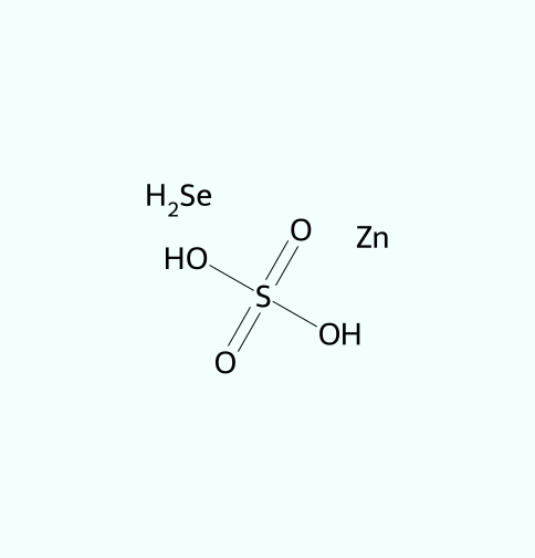 O=S(=O)(O)O.[SeH2].[Zn]